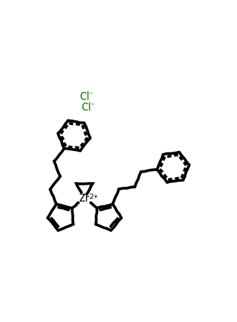 C1=CC(CCCc2ccccc2)=[C]([Zr+2]2([C]3=C(CCCc4ccccc4)C=CC3)[CH2][CH2]2)C1.[Cl-].[Cl-]